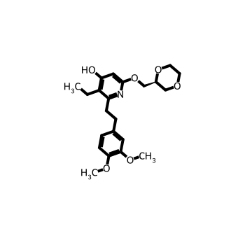 CCc1c(O)cc(OC[C@@H]2COCCO2)nc1CCc1ccc(OC)c(OC)c1